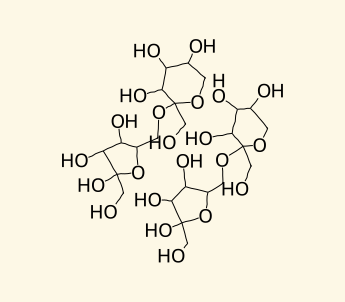 OCC1(O)OC(COC2(CO)OCC(O)C(O)C2O)C(O)C1O.OCC1(O)OC(COC2(CO)OCC(O)C(O)C2O)C(O)C1O